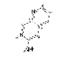 [NH]c1cc2cccnc2cn1